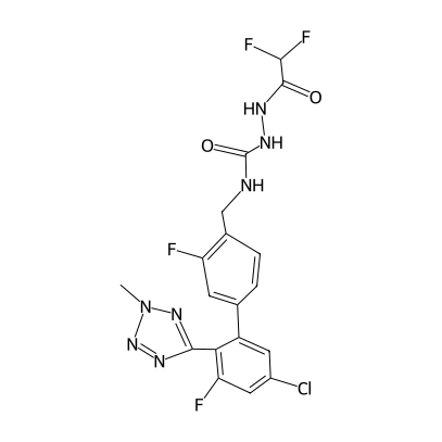 Cn1nnc(-c2c(F)cc(Cl)cc2-c2ccc(CNC(=O)NNC(=O)C(F)F)c(F)c2)n1